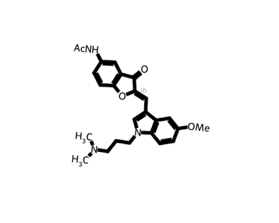 COc1ccc2c(c1)c(/C=C1\Oc3ccc(NC(C)=O)cc3C1=O)cn2CCCN(C)C